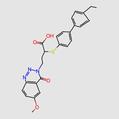 CCc1ccc(-c2ccc(SC(CCn3nnc4ccc(OC)cc4c3=O)C(=O)O)cc2)cc1